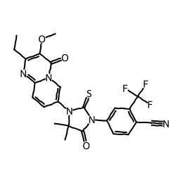 CCc1nc2ccc(N3C(=S)N(c4ccc(C#N)c(C(F)(F)F)c4)C(=O)C3(C)C)cn2c(=O)c1OC